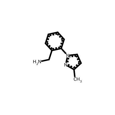 Cc1ccn(-c2ccccc2CN)n1